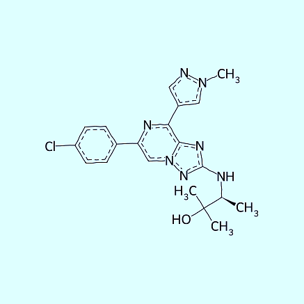 C[C@H](Nc1nc2c(-c3cnn(C)c3)nc(-c3ccc(Cl)cc3)cn2n1)C(C)(C)O